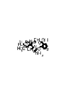 COc1nn(C)c(C(C)N(C)C)c1-c1cnc(N)c(OCc2cc(F)ccc2C(=O)O)n1